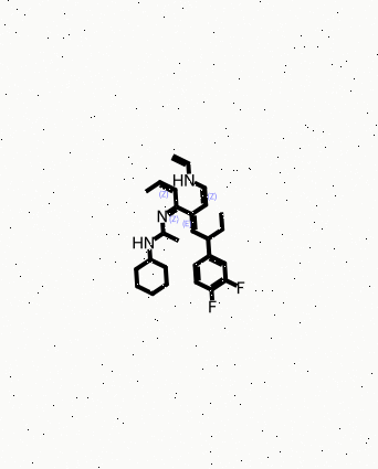 C=CN\C=C/C(=C\C(CC)c1ccc(F)c(F)c1)C(/C=C\C)=N\C(C)NC1CCCCC1